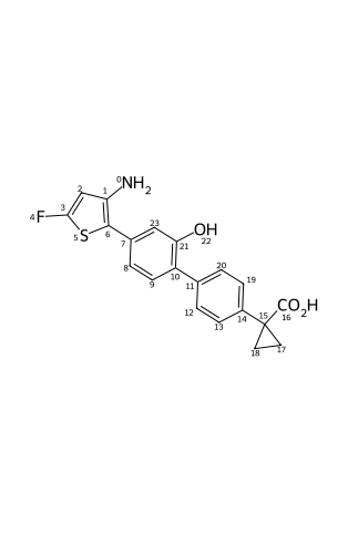 Nc1cc(F)sc1-c1ccc(-c2ccc(C3(C(=O)O)CC3)cc2)c(O)c1